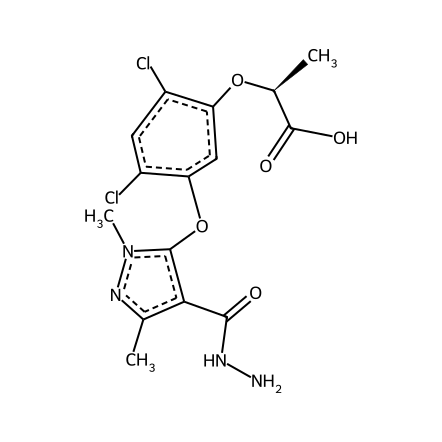 Cc1nn(C)c(Oc2cc(O[C@@H](C)C(=O)O)c(Cl)cc2Cl)c1C(=O)NN